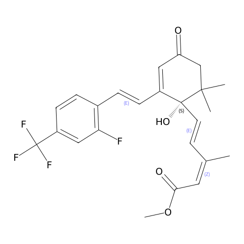 COC(=O)/C=C(C)\C=C\[C@@]1(O)C(/C=C/c2ccc(C(F)(F)F)cc2F)=CC(=O)CC1(C)C